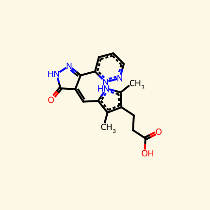 Cc1[nH]c(/C=C2/C(=O)NN=C2c2cccnn2)c(C)c1CCC(=O)O